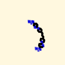 Nc1ccc(N2CCC(CCCC3CCN(c4ccc(N)cn4)CC3)CC2)nc1